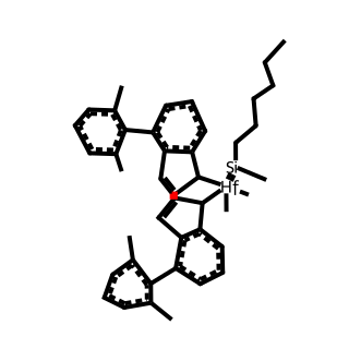 CCCCCC[Si](C)=[Hf]([CH3])([CH3])([CH]1C=Cc2c(-c3c(C)cccc3C)cccc21)[CH]1C=Cc2c(-c3c(C)cccc3C)cccc21